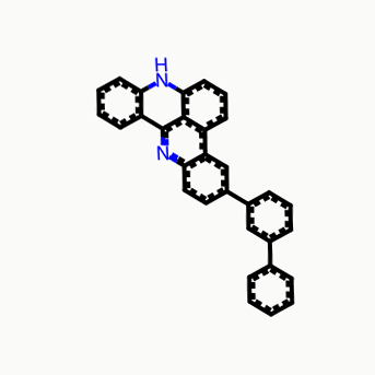 c1ccc(-c2cccc(-c3ccc4nc5c6c(cccc6c4c3)Nc3ccccc3-5)c2)cc1